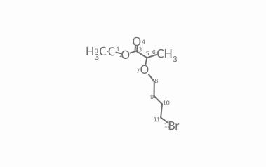 CCOC(=O)C(C)OCCCCBr